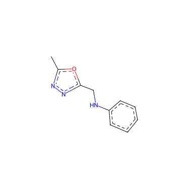 Cc1nnc(CNc2ccccc2)o1